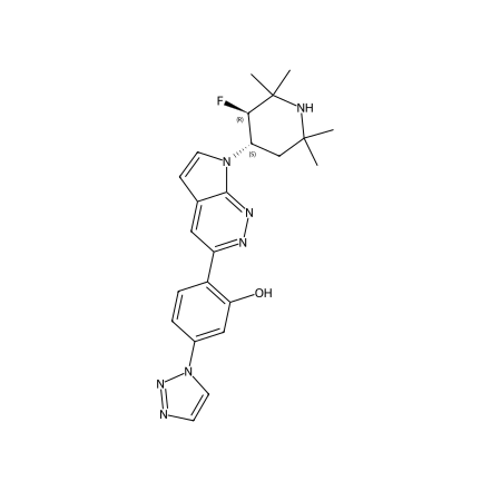 CC1(C)C[C@H](n2ccc3cc(-c4ccc(-n5ccnn5)cc4O)nnc32)[C@@H](F)C(C)(C)N1